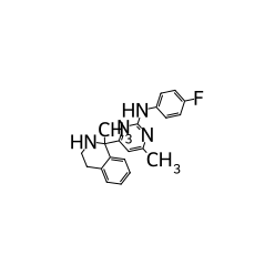 Cc1cc(C2(C)NCCc3ccccc32)nc(Nc2ccc(F)cc2)n1